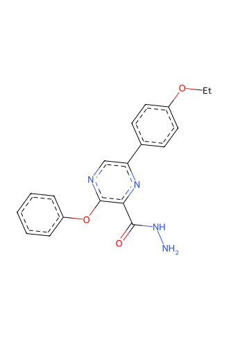 CCOc1ccc(-c2cnc(Oc3ccccc3)c(C(=O)NN)n2)cc1